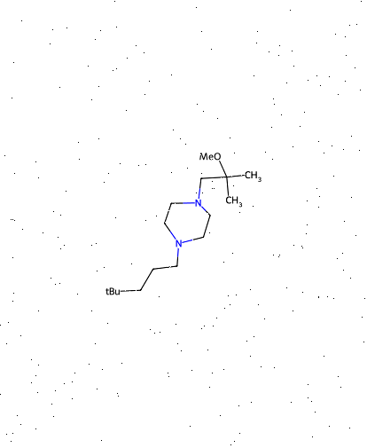 COC(C)(C)CN1CCN(CCCC(C)(C)C)CC1